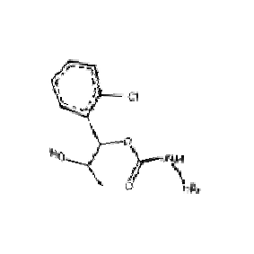 CCCNC(=O)OC(c1ccccc1Cl)C(C)O